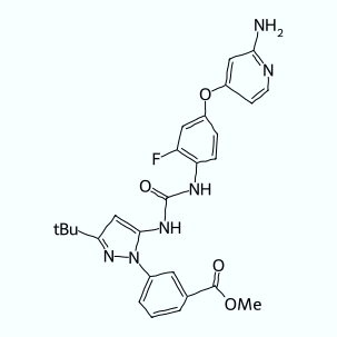 COC(=O)c1cccc(-n2nc(C(C)(C)C)cc2NC(=O)Nc2ccc(Oc3ccnc(N)c3)cc2F)c1